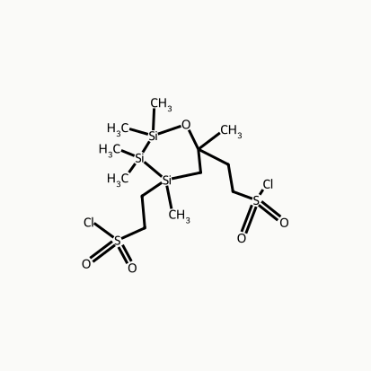 CC1(CCS(=O)(=O)Cl)C[Si](C)(CCS(=O)(=O)Cl)[Si](C)(C)[Si](C)(C)O1